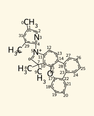 Cc1cnc([N+]2=CC(C)(C)c3c2ccc2c3Oc3ccccc3-c3ccccc3-2)c(C)c1